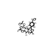 CC(=O)OCC1O[C@@H](Oc2ccc(C=O)cc2)C(OC(C)=O)[C@@H](C)[C@H]1OC(C)=O